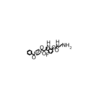 NCCNC(=O)Oc1ccc(F)c2c(C(=O)C(=O)N3CCN(C(=O)c4ccccc4)CC3)c[nH]c12